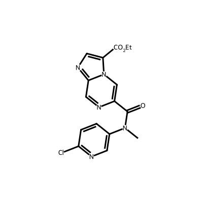 CCOC(=O)c1cnc2cnc(C(=O)N(C)c3ccc(Cl)nc3)cn12